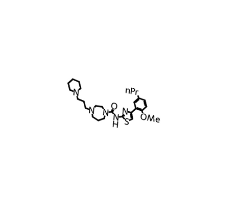 CCCc1ccc(OC)c(-c2csc(NC(=O)N3CCCN(CCCN4CCCCC4)CC3)n2)c1